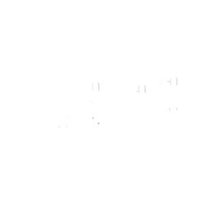 CC(CCC(=O)O)C(N[C@@H](C)C(=O)O)C(S)S